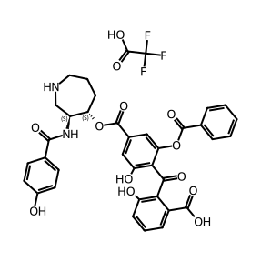 O=C(N[C@H]1CNCCC[C@@H]1OC(=O)c1cc(O)c(C(=O)c2c(O)cccc2C(=O)O)c(OC(=O)c2ccccc2)c1)c1ccc(O)cc1.O=C(O)C(F)(F)F